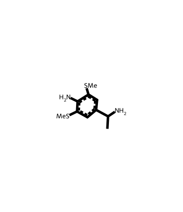 CSc1cc(C(C)N)cc(SC)c1N